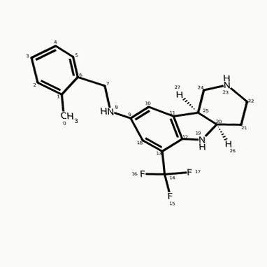 Cc1ccccc1CNc1cc2c(c(C(F)(F)F)c1)N[C@@H]1CCNC[C@H]21